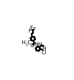 Cc1cc(C=CC(F)(F)F)ccc1C(=O)Nc1cccc2c(Cl)nccc12